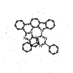 c1ccc(-c2nc(-c3ccccc3)nc(-n3c4ccccc4c4ccc5c6ccccc6c6nc7ccccc7n6c5c43)n2)cc1